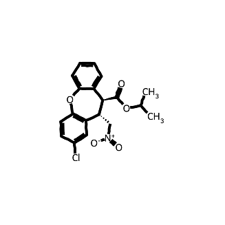 CC(C)OC(=O)[C@@H]1c2ccccc2Oc2ccc(Cl)cc2[C@H]1C[N+](=O)[O-]